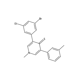 CCc1cc(Br)cc(-c2cn(C)cc(-c3cccc(C)c3)c2=S)c1